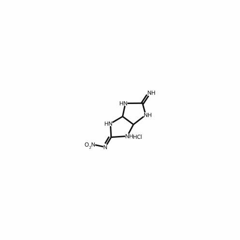 Cl.N=C1NC2NC(=N[N+](=O)[O-])NC2N1